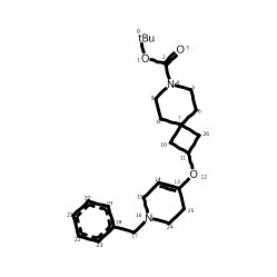 CC(C)(C)OC(=O)N1CCC2(CC1)CC(OC1=CCN(Cc3ccccc3)CC1)C2